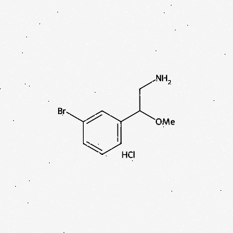 COC(CN)c1cccc(Br)c1.Cl